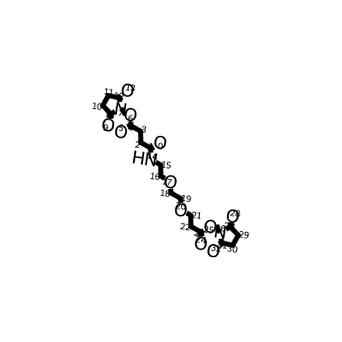 O=C(CCC(=O)ON1C(=O)CCC1=O)NCCOCCOCCC(=O)ON1C(=O)CCC1=O